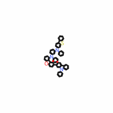 c1ccc(N(c2cccc(N(c3ccccc3)c3cccc4oc5ccc(-c6ccc7c8ccccc8n(-c8ccccc8)c7c6)cc5c34)c2)c2ccc3c(c2)sc2ccccc23)cc1